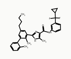 CCCCc1cc(-c2nc(C(=O)Nc3cccc(C(F)(F)C4CC4)c3)c(C)[nH]2)c(C)c(-c2ccccc2C)c1